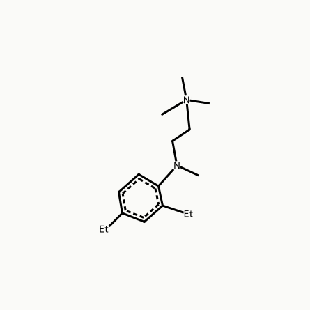 CCc1ccc(N(C)CC[N+](C)(C)C)c(CC)c1